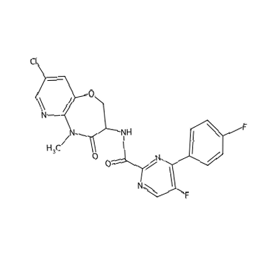 CN1C(=O)C(NC(=O)c2ncc(F)c(-c3ccc(F)cc3)n2)COc2cc(Cl)cnc21